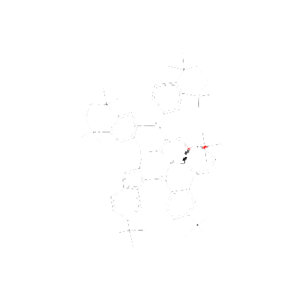 CC(C)(C)c1ccc(N2c3cc(C(C)(C)C)cc4c3B(c3cc5c(cc3N4c3ccc4c(c3)C(C)(C)CCC4(C)C)C(C)(C)CCC5(C)C)c3oc4ccc(C(C)(C)C)cc4c32)c(-c2ccccc2)c1